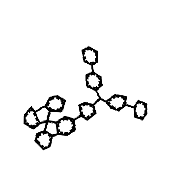 c1ccc(-c2ccc(C(c3ccc(-c4ccccc4)cc3)c3ccc(-c4ccc5c(c4)C4(c6ccccc6-c6ccccc64)c4ccccc4-5)cc3)cc2)cc1